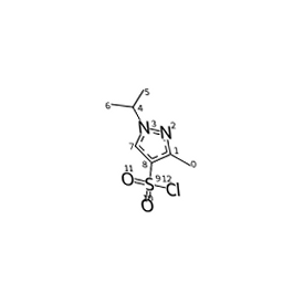 Cc1nn(C(C)C)cc1S(=O)(=O)Cl